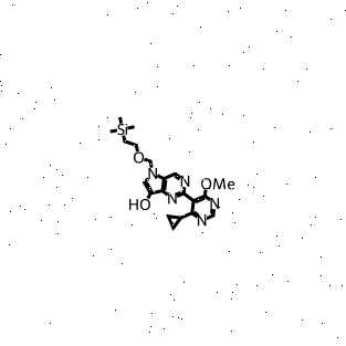 COc1ncnc(C2CC2)c1-c1ncc2c(n1)c(O)cn2COCC[Si](C)(C)C